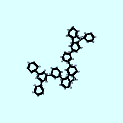 c1ccc(-c2nc(-c3ccccc3)nc(-c3cccc(-c4cccc5oc6ccc(-c7cccc(-c8ccc9c(c8)c8ccccc8n9-c8ccccc8)c7)cc6c45)c3)n2)cc1